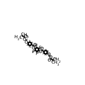 C=C(C)C(=O)OCOc1ccc(C(=O)Oc2c(F)c(F)c(OC(=O)c3ccc(OCOC(=O)C(=C)C)cc3)c(F)c2F)cc1